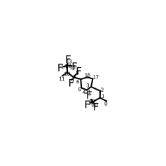 CC(CC1CCC(C(F)(F)C(C)C(F)(F)F)CC1)C(F)(F)F